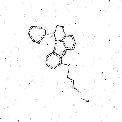 OCCNCCOc1cccc2c1c1cccc3c1n2[C@H](c1ccccc1)CO3